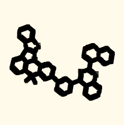 CC1(C)c2cc(-c3cccc(-c4nc(-c5cccc6ccccc56)nc5ccccc45)c3)ccc2-n2c3sc4ccccc4c3c3cccc1c32